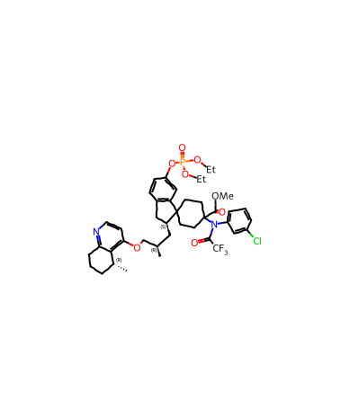 CCOP(=O)(OCC)Oc1ccc2c(c1)C1(CCC(C(=O)OC)(N(C(=O)C(F)(F)F)c3cccc(Cl)c3)CC1)[C@@H](C[C@@H](C)COc1ccnc3c1[C@H](C)CCC3)C2